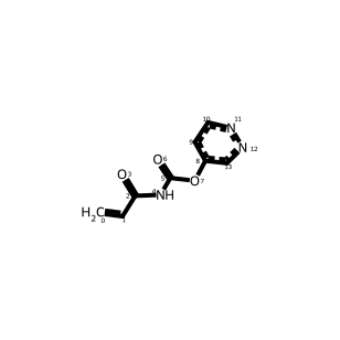 C=CC(=O)NC(=O)Oc1ccnnc1